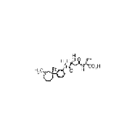 CCC1(c2cccc(OC(=O)[C@@](C)(O)CC(=O)NC(C(=O)O)C(C)C)c2)CCCCN(C)C1